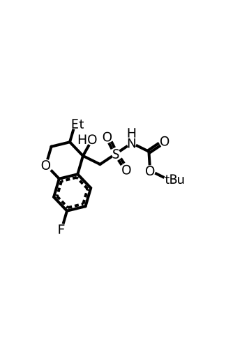 CCC1COc2cc(F)ccc2C1(O)CS(=O)(=O)NC(=O)OC(C)(C)C